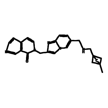 CC12CC(CNCc3ccc4nc(Cn5ccc6ccncc6c5=O)cn4c3)(C1)C2